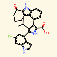 CC(C)c1c(-c2cc(F)cc3[nH]ccc23)[nH]c(C(=O)O)c1-c1cccc2[nH]c3c(c12)CCCC3=O